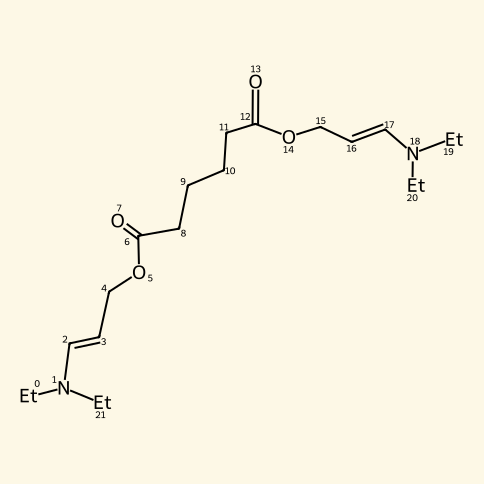 CCN(C=CCOC(=O)CCCCC(=O)OCC=CN(CC)CC)CC